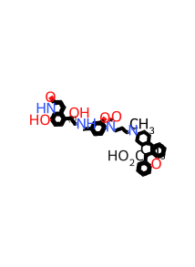 CN(CCCn1c(=O)oc2cc(CNC[C@H](O)c3ccc(O)c4[nH]c(=O)ccc34)ccc21)C1CCC(c2cccc3c2C(C)(C(=O)O)c2ccccc2O3)CC1